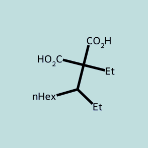 CCCCCCC(CC)C(CC)(C(=O)O)C(=O)O